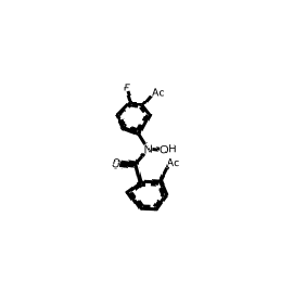 CC(=O)c1cc(N(O)C(=O)c2ccccc2C(C)=O)ccc1F